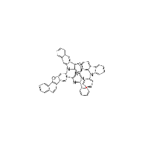 c1ccc(-c2nc(-c3cc4c(cc3-n3c5ccccc5c5cc6ccccc6cc53)oc3c5ccccc5ccc43)nc(-c3cccc4c5ccccc5n(-c5ccccc5)c34)n2)cc1